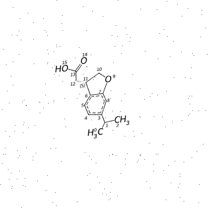 CC(C)c1ccc2c(c1)OC[C@H]2CC(=O)O